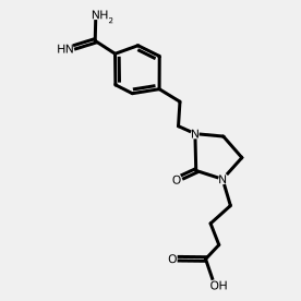 N=C(N)c1ccc(CCN2CCN(CCCC(=O)O)C2=O)cc1